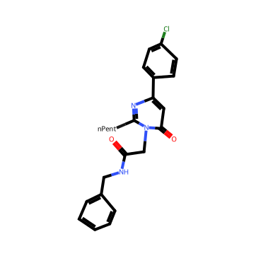 CCCCCc1nc(-c2ccc(Cl)cc2)cc(=O)n1CC(=O)NCc1ccccc1